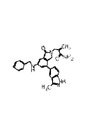 C=C(CN1Cc2c(cc(NCc3ccccc3)cc2-c2ccc3[nH]nc(C)c3c2)C1=O)C(N)=O